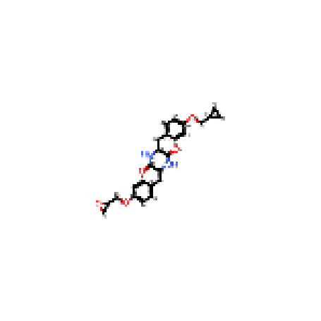 O=C1NC(Cc2ccc(OCC3CO3)cc2)C(=O)NC1Cc1ccc(OCC2CC2)cc1